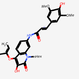 CC=C(CC)Oc1c(O)c(=O)n(CCCCCC)c2cc(NC(=O)/C=C/c3cc(OC)c(O)c(OC)c3)ccc12